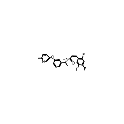 Cc1ccc(Oc2cccc(C(C)NC(=O)/C=C\c3cc(F)c(F)cc3F)c2)cn1